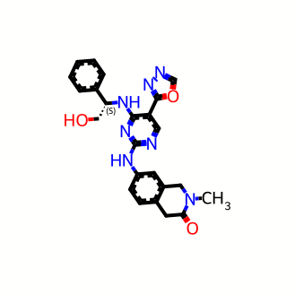 CN1Cc2cc(Nc3ncc(-c4nnco4)c(N[C@H](CO)c4ccccc4)n3)ccc2CC1=O